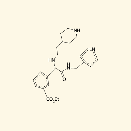 CCOC(=O)c1cccc(C(NCCC2CCNCC2)C(=O)NCc2ccncc2)c1